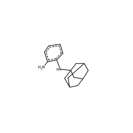 Nc1ccccc1NC12CC3CC(CC(C3)C1)C2